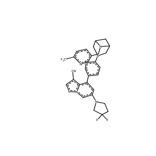 N#Cc1cnn2cc(N3CCC(F)(F)C3)cc(-c3ccc(N4CC5CC(C4)N5Cc4ccc(C(F)(F)F)nc4)nc3)c12